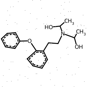 CC(O)N(CCc1ccccc1Oc1ccccc1)C(C)O